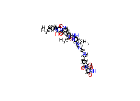 C[C@H]1CN(C2CC(N3CC[C@@H](c4ccc5c(c4)C(=O)N(C4CCC(=O)NC4=O)C5=O)C3)C2)CCN1c1ccc(Nc2cc(-c3ccnc(N4CCn5c(cc6c5CC(C)(C)C6)C4=O)c3CO)cn(C)c2=O)nc1